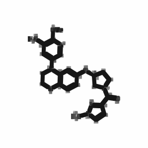 COc1ncc(N2CCOc3ccc(O[C@H]4CCN(C(=O)c5ccn(C)n5)C4)cc32)cc1C